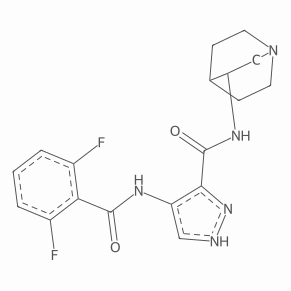 O=C(NC1CN2CCC1CC2)c1n[nH]cc1NC(=O)c1c(F)cccc1F